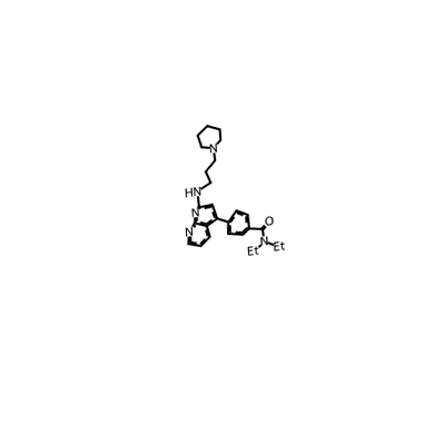 CCN(CC)C(=O)c1ccc(-c2cc(NCCCN3CCCCC3)nc3ncccc23)cc1